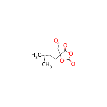 CC(C)CCC1(CC=O)OC(=O)OC1=O